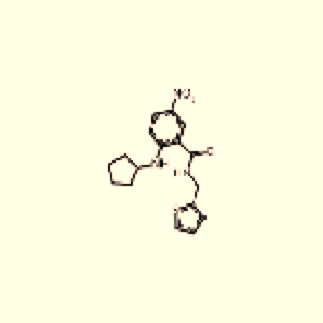 O=C(NCc1cccs1)c1cc([N+](=O)[O-])ccc1NC1CCCC1